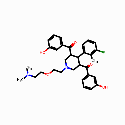 Cc1c(F)cccc1C1C(C(=O)c2cccc(O)c2)CN(CCOCCN(C)C)CC1C(=O)c1cccc(O)c1